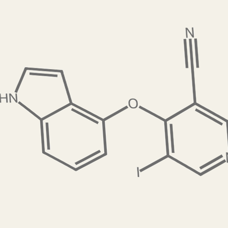 N#Cc1cncc(I)c1Oc1cccc2[nH]ccc12